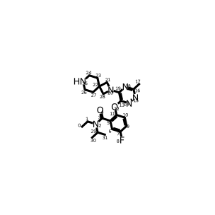 CCN(C(=O)c1cc(F)ccc1Oc1nnc(C)nc1N1CC2(CCNCC2)C1)C(C)C